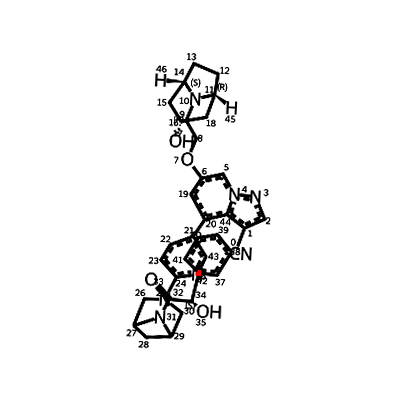 N#Cc1cnn2cc(OCCN3[C@@H]4CC[C@H]3C[C@@H](O)C4)cc(-c3ccc(N4CC5CC(C4)N5C(=O)[C@@H](O)c4ccccc4)nc3)c12